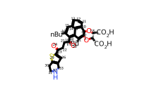 CCCCC1=C(OCC(=O)O)C(OCC(=O)O)c2cccc3cc(CCCC)c(C(=O)CCC(=O)c4cc5c(s4)CCNC5)c1c23